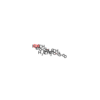 CC1(C)c2cc(CO)ccc2-c2ccc(-c3ccc4c(c3)C(C)(C)c3cc(-c5ccc6c(c5)C(C)(C)c5cc(-c7ccc8cc(-c9ccc%10ccccc%10c9)ccc8c7)ccc5-6)ccc3-4)cc21